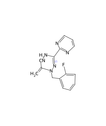 C=C(C#N)N(Cc1ccccc1F)/N=C(\N)c1ncccn1